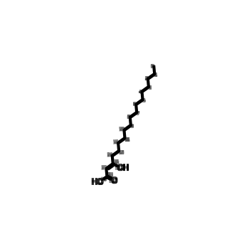 CCCCCCCCCCCCCCCC(O)=CC(=O)O